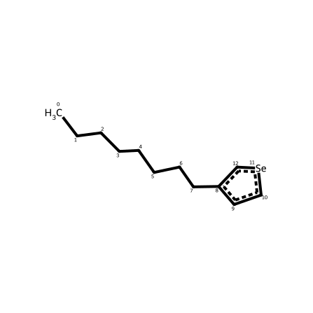 CCCCCCCCc1cc[se]c1